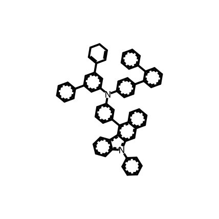 C1=CC(c2cc(-c3ccccc3)cc(N(c3ccc(-c4ccccc4-c4ccccc4)cc3)c3cccc(-c4c5ccccc5cc5c4c4ccccc4n5-c4ccccc4)c3)c2)=CCC1